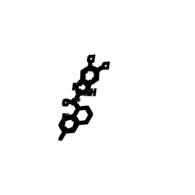 Cc1cnc2c(c1)CCCC2[S+]([O-])c1nc2cc(Cl)c(Cl)cc2[nH]1